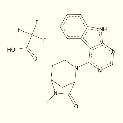 CN1C(=O)C2CC1CCN2c1ncnc2[nH]c3ccccc3c12.O=C(O)C(F)(F)F